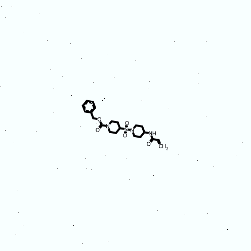 C=CC(=O)NC1CCN(S(=O)(=O)C2CCN(C(=O)OCc3ccccc3)CC2)CC1